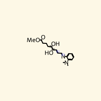 COC(=O)CCC[C@H](O)[C@H](O)/C=C/C=N/c1ccccc1N(C)C